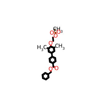 Cc1cc(-c2ccc(C(=O)OCc3ccccc3)cc2)cc(C)c1OCCOS(C)(=O)=O